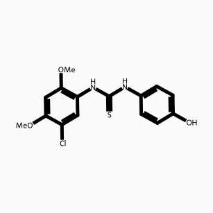 COc1cc(OC)c(NC(=S)Nc2ccc(O)cc2)cc1Cl